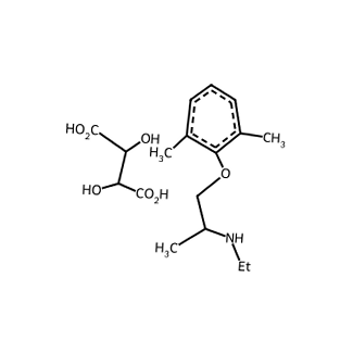 CCNC(C)COc1c(C)cccc1C.O=C(O)C(O)C(O)C(=O)O